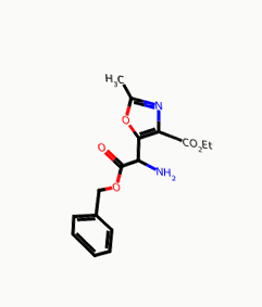 CCOC(=O)c1nc(C)oc1C(N)C(=O)OCc1ccccc1